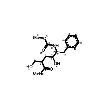 CNC(=O)C(CO)C[C@H](O)[C@H](Cc1ccccc1)NC(=O)OC(C)(C)C